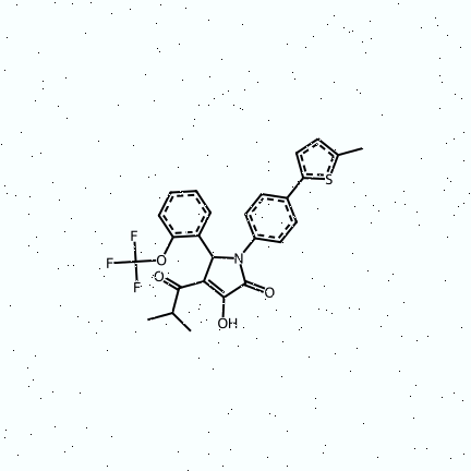 Cc1ccc(-c2ccc(N3C(=O)C(O)=C(C(=O)C(C)C)C3c3ccccc3OC(F)(F)F)cc2)s1